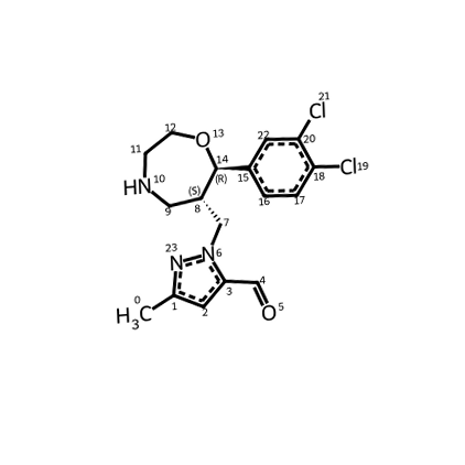 Cc1cc(C=O)n(C[C@@H]2CNCCO[C@H]2c2ccc(Cl)c(Cl)c2)n1